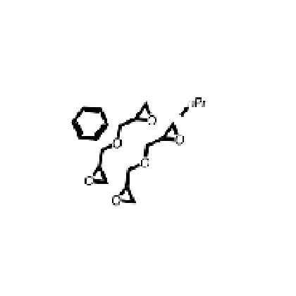 C(OCC1CO1)C1CO1.C(OCC1CO1)C1CO1.CCCC.c1ccccc1